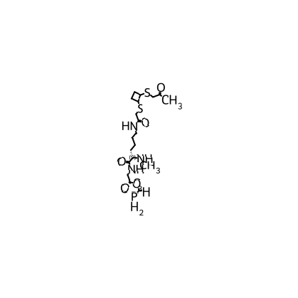 [3H]C(P)OC(=O)CNC(=O)[C@H](CCCCNC(=O)CSC1CCC1SCC(C)=O)NC